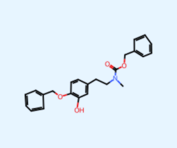 CN(CCc1ccc(OCc2ccccc2)c(O)c1)C(=O)OCc1ccccc1